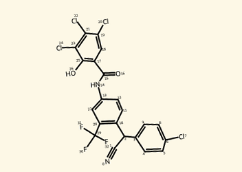 N#CC(c1ccc(Cl)cc1)c1ccc(NC(=O)c2cc(Cl)c(Cl)c(Cl)c2O)cc1C(F)(F)F